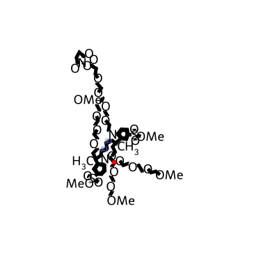 COCCOCCOCCOCC[N+]1=C(/C=C/C=C2/N(CCOCCOCCOCCOCCC(=O)ON3C(=O)CCC3=O)c3ccc(S(=O)(=O)OC)cc3C2(C)CCOCCOCCOCCOC)C(C)(CCOCCOCCOCCOC)c2cc(S(=O)(=O)OC)ccc21